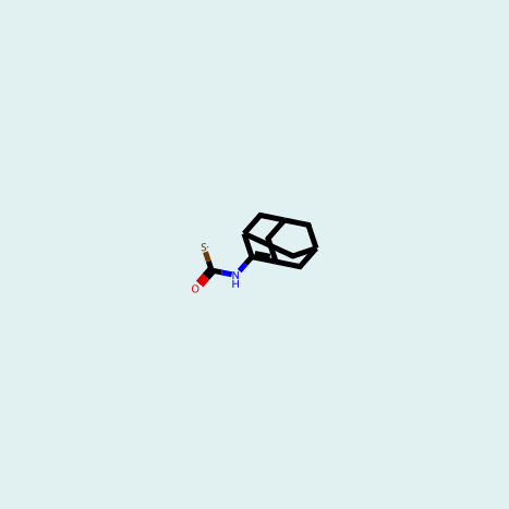 O=C([S])NC1=C2CC3CC(C2)CC1C3